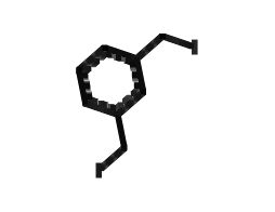 ICc1cccc(CI)c1